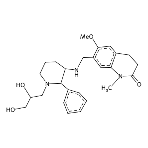 COc1cc2c(cc1CNC1CCCN(CC(O)CO)C1c1ccccc1)N(C)C(=O)CC2